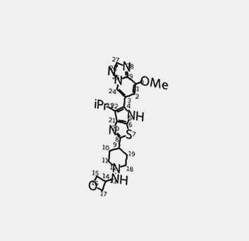 COc1cc(-c2[nH]c3sc(C4CCN(NC5COC5)CC4)nc3c2C(C)C)cn2ncnc12